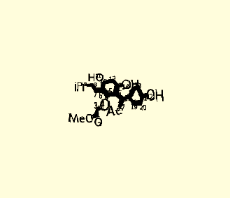 COC(=O)COc1c(CCC(C)C)c(O)cc(O)c1C(C(C)=O)c1ccc(O)cc1